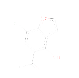 CC(=O)c1cc(Br)c2occc2c1O